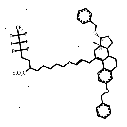 CCOC(=O)C(CCCCCCC=CCC1=C2c3ccc(OCc4ccccc4)cc3CCC2C2CC[C@H](OCc3ccccc3)[C@@]2(C)C1)CCC(F)(F)C(F)(F)C(F)(F)C(F)(F)F